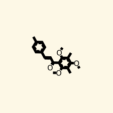 COc1c(C)c(OC)c(C(=O)C=Cc2ccc(C)cc2)c(OC)c1C